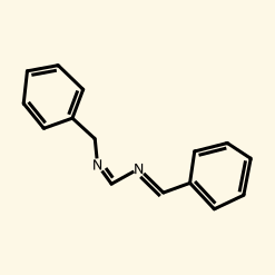 C(=N/Cc1ccccc1)/N=C/c1ccccc1